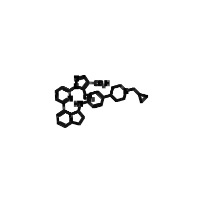 Cc1c(C(=O)O)cnn1-c1cccc(-c2cccc3c2C(Nc2ccc(C4CCN(CC5CC5)CC4)cc2)CC3)n1